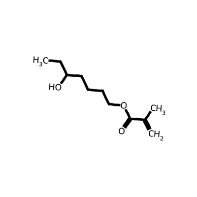 C=C(C)C(=O)OCCCCC(O)CC